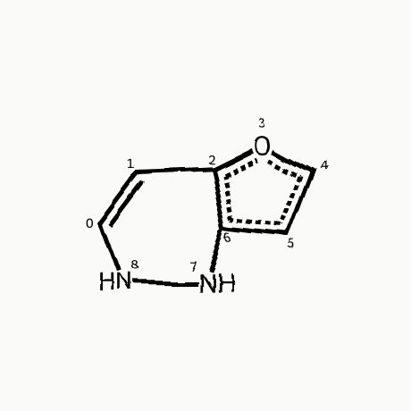 C1=Cc2occc2NN1